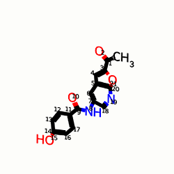 CC(=O)c1cc2cc(NC(=O)c3ccc(O)cc3)cnc2o1